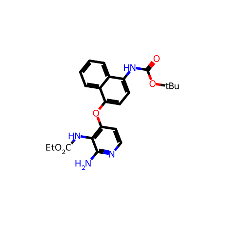 CCOC(=O)Nc1c(Oc2ccc(NC(=O)OC(C)(C)C)c3ccccc23)ccnc1N